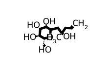 C=CCC(C)(O)CC1O[C@H](CO)[C@@H](O)[C@H](O)[C@H]1O